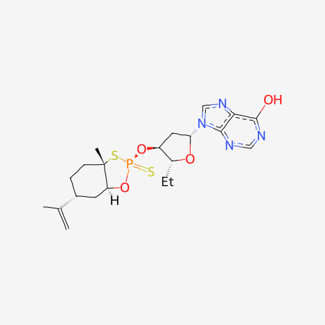 C=C(C)[C@@H]1CC[C@]2(C)S[P@@](=S)(O[C@H]3C[C@H](n4cnc5c(O)ncnc54)O[C@@H]3CC)O[C@H]2C1